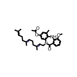 COc1cccc2c1Nc1c(C)cc(OC(C)=O)cc1N(C/C=C(\C)CC/C=C(\C)CCC=C(C)C)C2=O